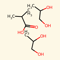 CC(C)C(=O)O.CC(O)CO.CC(O)CO